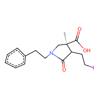 C[C@@]1(C(=O)O)CN(CCc2ccccc2)C(=O)C1CCI